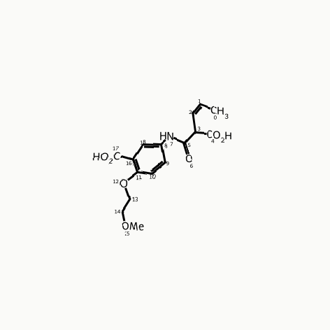 C/C=C\C(C(=O)O)C(=O)Nc1ccc(OCCOC)c(C(=O)O)c1